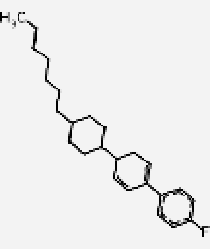 CCCCCCCC1CCC(C2C=CC(c3ccc(F)cc3)=CC2)CC1